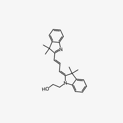 CC1(C)C(/C=C/C=C2/N(CCO)c3ccccc3C2(C)C)=Nc2ccccc21